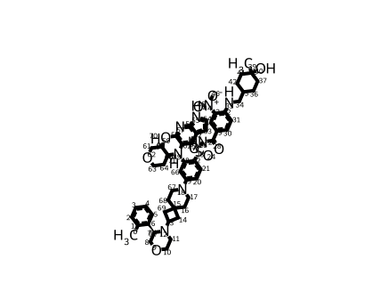 Cc1ccccc1[C@@H]1COCCN1C1CC2(CCN(c3ccc(S(=O)(=O)NC(=O)c4ccc(NCC5CCC(C)(O)CC5)c([N+](=O)[O-])c4)c(N4c5cc6cc[nH]c6nc5O[C@@H]5COCC[C@H]54)c3)CC2)C1